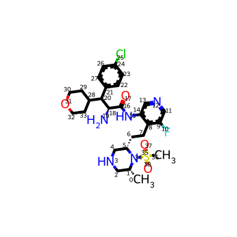 C[C@@H]1CNC[C@H](CCc2c(F)cncc2NC(=O)[C@@H](N)C(c2ccc(Cl)cc2)C2CCOCC2)N1S(C)(=O)=O